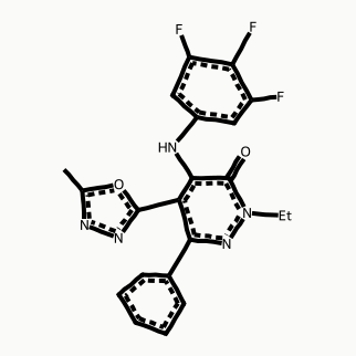 CCn1nc(-c2ccccc2)c(-c2nnc(C)o2)c(Nc2cc(F)c(F)c(F)c2)c1=O